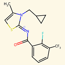 Cc1cs/c(=N\C(=O)c2cccc(C(F)(F)F)c2F)n1CC1CC1